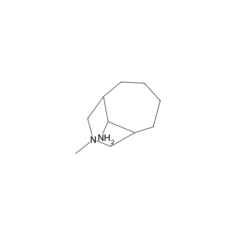 CN1CC2CCCCC(C1)C2N